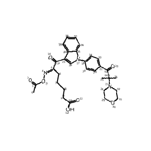 CC(=O)O/N=C(\CCCCC(=O)O)C(=O)c1cn(-c2ccc(C(=O)C(C)(C)N3CCOCC3)cc2)c2ccccc12